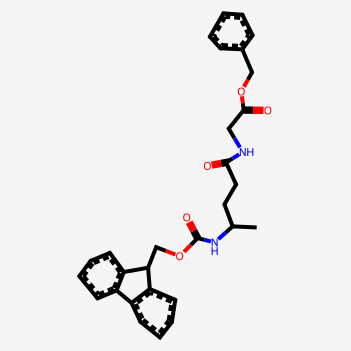 CC(CCC(=O)NCC(=O)OCc1ccccc1)NC(=O)OCC1c2ccccc2-c2ccccc21